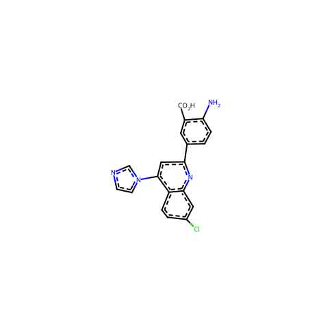 Nc1ccc(-c2cc(-n3ccnc3)c3ccc(Cl)cc3n2)cc1C(=O)O